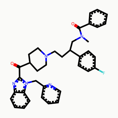 CN(CC(CCN1CCC(C(=O)c2nc3ccccc3n2Cc2ccccn2)CC1)c1ccc(F)cc1)C(=O)c1ccccc1